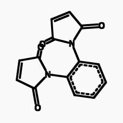 O=C1C=CC(=O)N1c1ccccc1N1C(=O)C=CC1=O